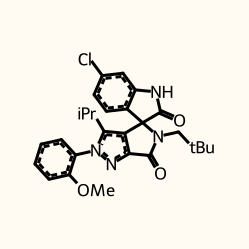 COc1ccccc1-n1nc2c(c1C(C)C)C1(C(=O)Nc3cc(Cl)ccc31)N(CC(C)(C)C)C2=O